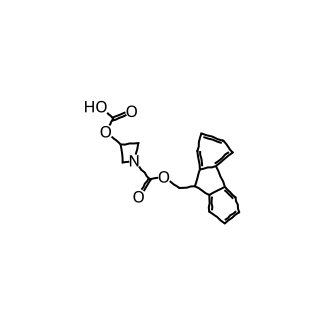 O=C(O)OC1CN(C(=O)OCC2c3ccccc3-c3ccccc32)C1